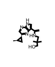 C=C(NCC(C)(C)CO)c1c[nH]c2ncc([C@@H]3C[C@H]3C)nc12